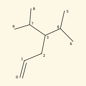 C=CCC([C](C)C)C(C)C